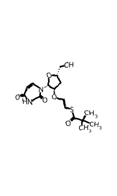 CC(C)(C)C(=O)SCCO[C@@H]1C[C@@H](CO)O[C@H]1n1ccc(=O)[nH]c1=O